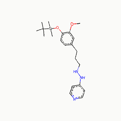 COc1cc(CCCNNc2ccncc2)ccc1O[Si](C)(C)C(C)(C)C